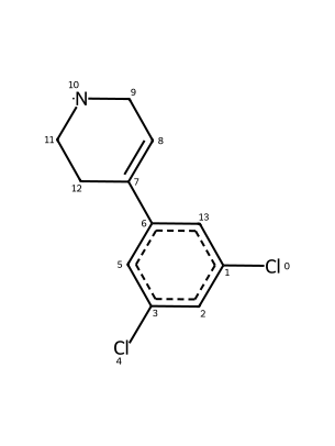 Clc1cc(Cl)cc(C2=CC[N]CC2)c1